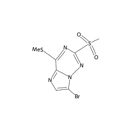 CSc1nc(S(C)(=O)=O)nn2c(Br)cnc12